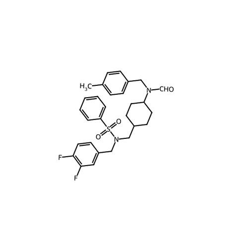 Cc1ccc(CN(C=O)C2CCC(CN(Cc3ccc(F)c(F)c3)S(=O)(=O)c3ccccc3)CC2)cc1